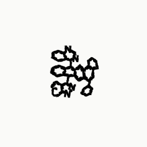 c1ccc(-c2cc3ccccc3c3cc4c(-c5ncnc6ccccc56)c5ccccc5c(-c5ncnc6ccccc56)c4cc23)cc1